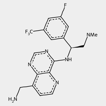 CNC[C@@H](Nc1ncnc2c(CN)ccnc12)c1cc(F)cc(C(F)(F)F)c1